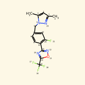 Cc1cc(C)n(Cc2ccc(-c3noc(C(F)(F)F)n3)c(F)c2)n1